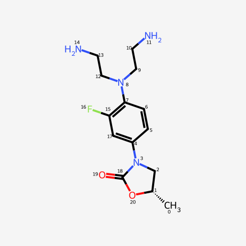 C[C@H]1CN(c2ccc(N(CCN)CCN)c(F)c2)C(=O)O1